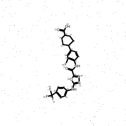 O=C(Nc1ccc(C2CCC(C(=O)O)CC2)cc1F)c1nnc(Nc2ccc(C(F)(F)F)cc2)o1